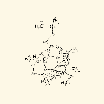 C=C[C@@]1(C)CC(=O)[C@]2(O)[C@@]3(C)[C@@H](O)CCC(C)(C)[C@@H]3[C@H](OC(=O)CCN(C)C)[C@H](OC(C)=O)[C@@]2(C)O1